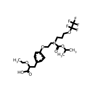 CCOC(Cc1ccc(OCCN(CCCOC(F)(F)C(F)(F)F)C(=O)OC(C)C)cc1)C(=O)O